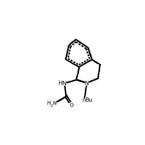 CCCCN1CCc2ccccc2C1NC(N)=O